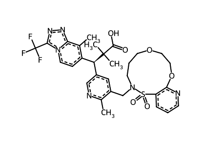 Cc1ncc([C@@H](c2ccn3c(C(F)(F)F)nnc3c2C)C(C)(C)C(=O)O)cc1CN1CCCOCCOc2ncccc2S1(=O)=O